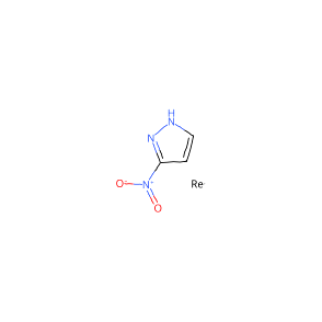 O=[N+]([O-])c1cc[nH]n1.[Re]